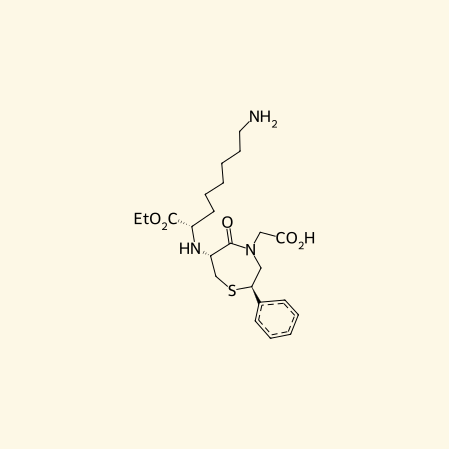 CCOC(=O)[C@H](CCCCCCN)N[C@H]1CS[C@H](c2ccccc2)CN(CC(=O)O)C1=O